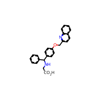 O=C(O)CNC(c1ccccc1)c1ccc(OCc2ccc3ccccc3n2)cc1